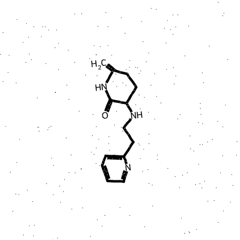 C=C1CCC(NCCc2ccccn2)C(=O)N1